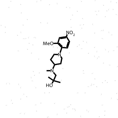 COc1cc([N+](=O)[O-])ccc1N1CCC(N(C)CC(C)(C)O)CC1